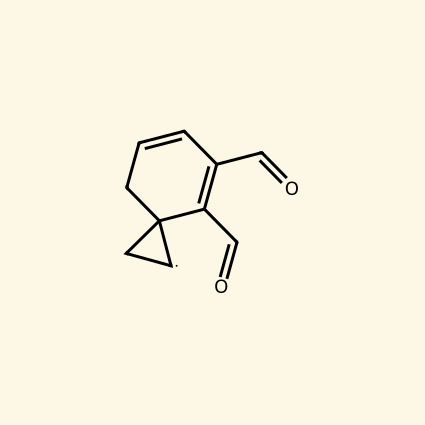 O=CC1=C(C=O)C2([CH]C2)CC=C1